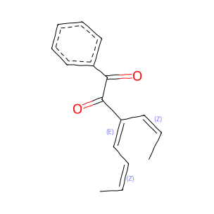 C\C=C/C=C(\C=C/C)C(=O)C(=O)c1ccccc1